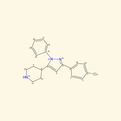 Clc1ccc(-c2cc(C3CCNCC3)n(-c3ccccc3)n2)cc1